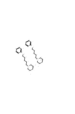 C[C@@H]1C[C@H](C)CN(CCCCCOc2ccccc2)C1.C[C@H]1C[C@H](C)CN(CCCCCOc2ccccc2)C1